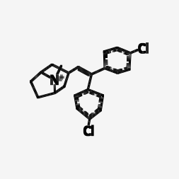 C[N+]1(C)C2CCC1CC(C=C(c1ccc(Cl)cc1)c1ccc(Cl)cc1)C2